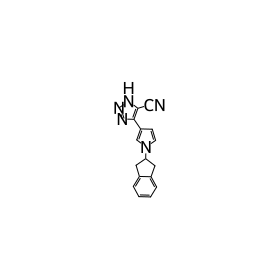 N#Cc1[nH]nnc1-c1ccn(C2Cc3ccccc3C2)c1